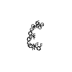 COC(=O)c1sccc1NC(=O)COc1ccc(-c2ccc(Cn3ccc4nc(-c5cccc(F)c5F)nc-4c3)cc2)c(C(F)(F)F)c1